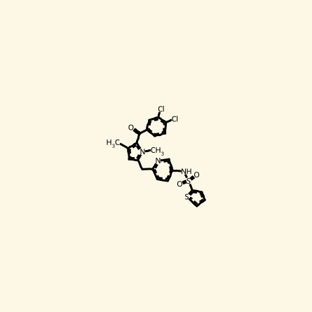 Cc1cc(Cc2ccc(NS(=O)(=O)c3cccs3)cn2)n(C)c1C(=O)c1ccc(Cl)c(Cl)c1